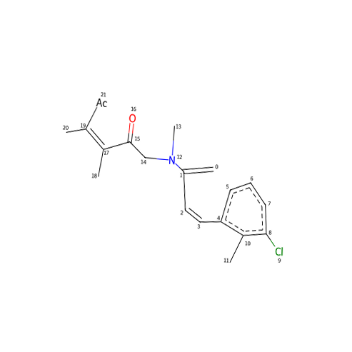 C=C(/C=C\c1cccc(Cl)c1C)N(C)CC(=O)/C(C)=C(/C)C(C)=O